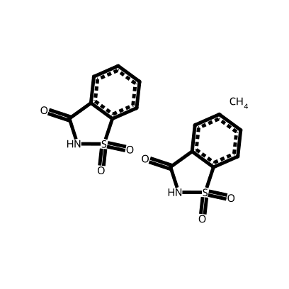 C.O=C1NS(=O)(=O)c2ccccc21.O=C1NS(=O)(=O)c2ccccc21